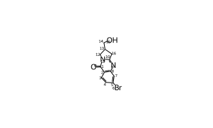 O=c1c2ccc(Br)cc2nc2n1CC(CO)C2